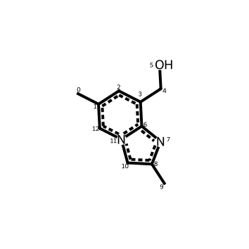 Cc1cc(CO)c2nc(C)cn2c1